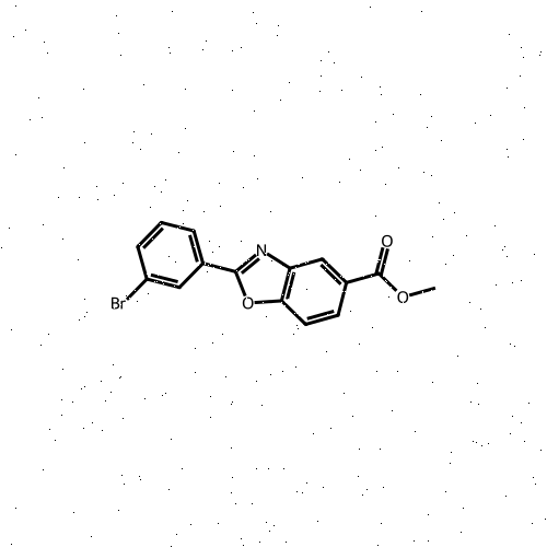 COC(=O)c1ccc2oc(-c3cccc(Br)c3)nc2c1